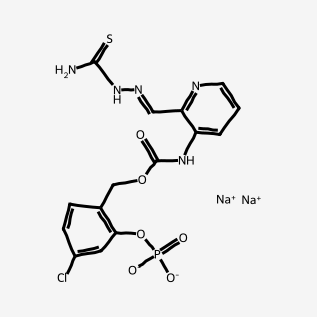 NC(=S)NN=Cc1ncccc1NC(=O)OCc1ccc(Cl)cc1OP(=O)([O-])[O-].[Na+].[Na+]